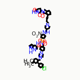 CC1(C)CCC(CN2CCN(c3ccc(C(=O)NS(=O)(=O)c4ccc(NCC5CCN(CCC#Cc6cccc7c6C(=O)N(C6CCC(=O)NC6=O)C7)CC5)c([N+](=O)[O-])c4)c(Oc4cnc5[nH]ccc5c4)c3)CC2)=C(c2ccc(Cl)cc2)C1